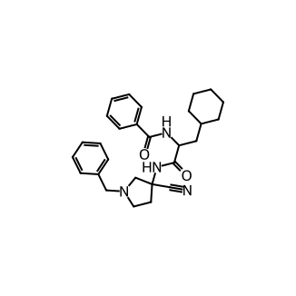 N#CC1(NC(=O)C(CC2CCCCC2)NC(=O)c2ccccc2)CCN(Cc2ccccc2)C1